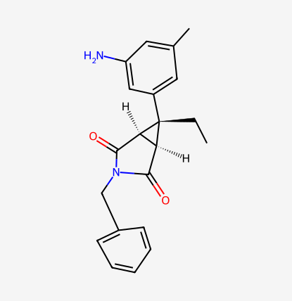 CC[C@]1(c2cc(C)cc(N)c2)[C@@H]2C(=O)N(Cc3ccccc3)C(=O)[C@@H]21